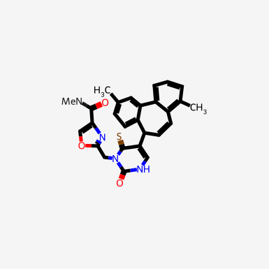 CNC(=O)c1coc(Cn2c(=O)[nH]cc(C3C=Cc4c(C)cccc4-c4cc(C)ccc43)c2=S)n1